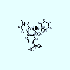 CN1CCN(c2ccc(C(=O)O)cc2S(=O)(=O)NC2(C)CCCCC2)CC1